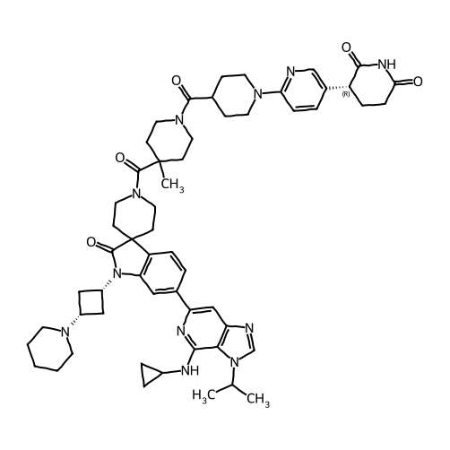 CC(C)n1cnc2cc(-c3ccc4c(c3)N([C@H]3C[C@@H](N5CCCCC5)C3)C(=O)C43CCN(C(=O)C4(C)CCN(C(=O)C5CCN(c6ccc([C@H]7CCC(=O)NC7=O)cn6)CC5)CC4)CC3)nc(NC3CC3)c21